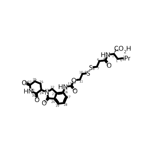 CC(C)C[C@H](NC(=O)CCSSCCOC(=O)Nc1cccc2c1CN(C1CCC(=O)NC1=O)C2=O)C(=O)O